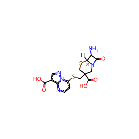 NC1C(=O)N2CC(CSc3ccnc4c(C(=O)O)cnn34)(C(=O)O)CS[C@H]12